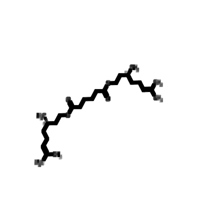 CC(C)=CCC[C@H](C)CCOC(=O)CCCCC(=O)OCC[C@@H](C)CCC=C(C)C